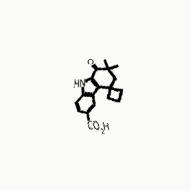 CC1(C)CC2(CCC2)c2c([nH]c3ccc(C(=O)O)cc23)C1=O